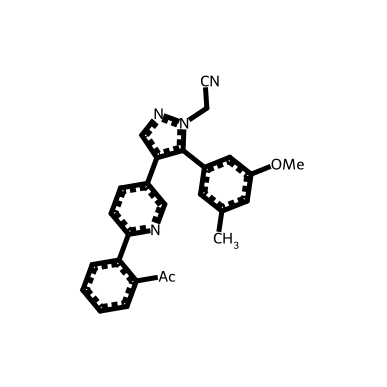 COc1cc(C)cc(-c2c(-c3ccc(-c4ccccc4C(C)=O)nc3)cnn2CC#N)c1